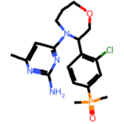 Cc1cc(N2CCCOCC2c2ccc(P(C)(C)=O)cc2Cl)nc(N)n1